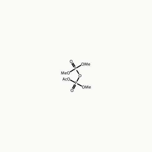 COP(=O)(OC)OP(=O)(OC)OC(C)=O